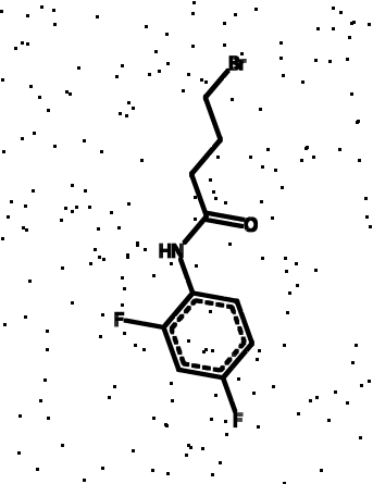 O=C(CCCBr)Nc1ccc(F)cc1F